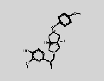 COc1ccc(O[C@H]2C[C@@H]3CN(CC(C)c4ccc(O)c(OC)n4)C[C@@H]3C2)cc1